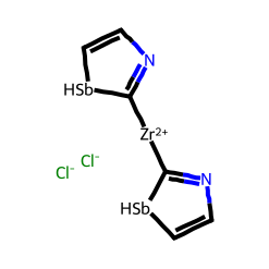 C1=[CH][SbH][C]([Zr+2][C]2=NC=[CH][SbH]2)=N1.[Cl-].[Cl-]